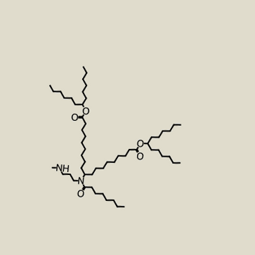 CCCCCCCC(=O)N(CCCNC)C(CCCCCCCCC(=O)OC(CCCCCC)CCCCCC)CCCCCCCCC(=O)OC(CCCCCC)CCCCCC